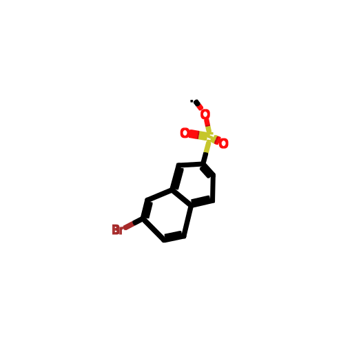 [CH2]OS(=O)(=O)c1ccc2ccc(Br)cc2c1